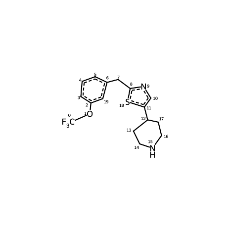 FC(F)(F)Oc1cccc(Cc2ncc(C3CCNCC3)s2)c1